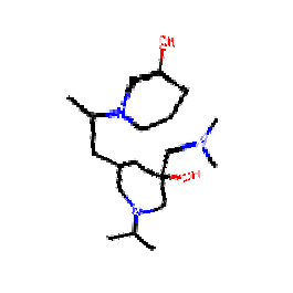 CC(C)N1CC(CC(C)N2CCC[C@H](O)C2)CC(O)(CN(C)C)C1